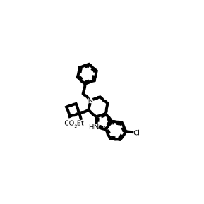 CCOC(=O)C1(C2c3[nH]c4ccc(Cl)cc4c3CCN2Cc2ccccc2)CCC1